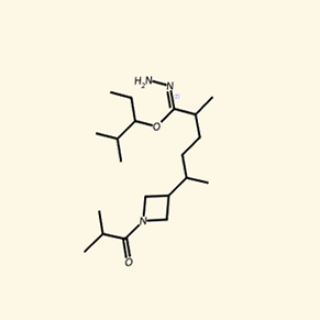 CCC(O/C(=N\N)C(C)CCC(C)C1CN(C(=O)C(C)C)C1)C(C)C